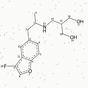 CC(Cc1ccc2occ(F)c2c1)NCC(CO)CO